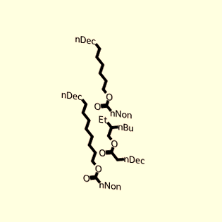 CCCCCCCCCCCC(=O)OCC(CC)CCCC.CCCCCCCCCCCCCCCCCCOC(=O)CCCCCCCCC.CCCCCCCCCCCCCCCCOC(=O)CCCCCCCCC